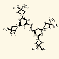 O=[N+]([O-])C1([N+](=O)[O-])CN(c2nc(N=Nc3nc(N4CC([N+](=O)[O-])([N+](=O)[O-])C4)nc(N4CC([N+](=O)[O-])([N+](=O)[O-])C4)n3)nc(N3CC([N+](=O)[O-])([N+](=O)[O-])C3)n2)C1